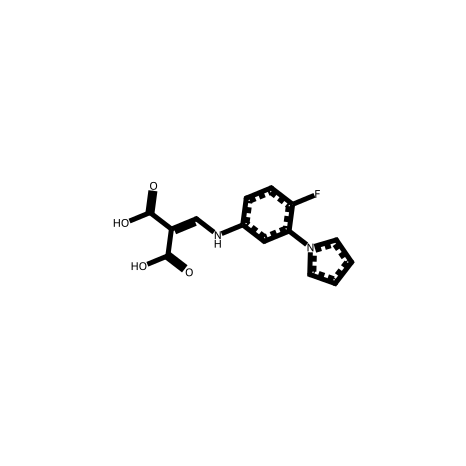 O=C(O)C(=CNc1ccc(F)c(-n2cccc2)c1)C(=O)O